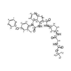 Cc1cc(Oc2ccccc2)ccc1N1C(=O)Nc2c(C(=O)N[C@H]3CC[C@@H](NC(=O)CNC(=O)OC(C)(C)C)C3)sc3nccc1c23